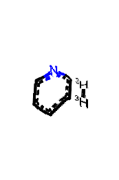 [3H][3H].c1ccncc1